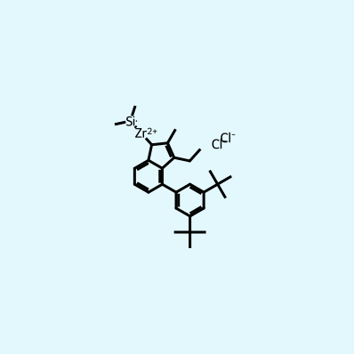 CCC1=C(C)[CH]([Zr+2][Si](C)C)c2cccc(-c3cc(C(C)(C)C)cc(C(C)(C)C)c3)c21.[Cl-].[Cl-]